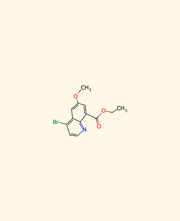 CCOC(=O)c1cc(OC)cc2c(Br)ccnc12